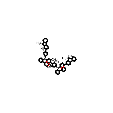 Cc1cc(N(c2ccc(-c3ccc4c(c3)C(C)(C)c3ccccc3-4)cc2)c2ccccc2-c2ccccc2)cc(C)c1-c1c(C)cc(N(c2ccc(-c3ccc4c(c3)C(C)(C)c3ccccc3-4)cc2)c2ccccc2-c2ccccc2)cc1C